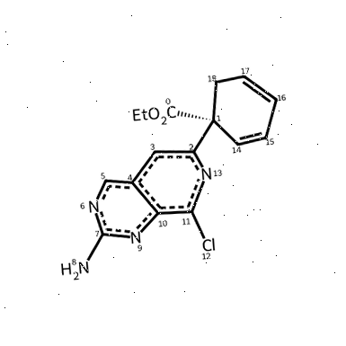 CCOC(=O)[C@@]1(c2cc3cnc(N)nc3c(Cl)n2)C=CC=CC1